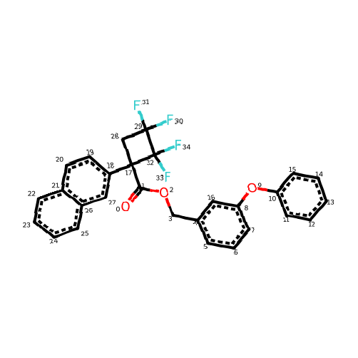 O=C(OCc1cccc(Oc2ccccc2)c1)C1(c2ccc3ccccc3c2)CC(F)(F)C1(F)F